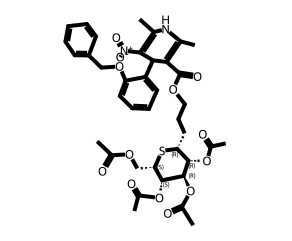 CC(=O)OC[C@@H]1S[C@H](CCCOC(=O)C2=C(C)NC(C)=C([N+](=O)[O-])C2c2ccccc2OCc2ccccc2)[C@H](OC(C)=O)[C@@H](OC(C)=O)[C@@H]1OC(C)=O